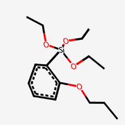 CCCOc1ccccc1[Si](OCC)(OCC)OCC